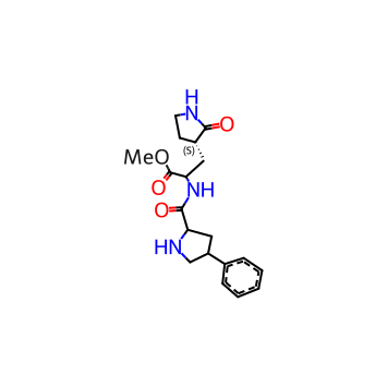 COC(=O)C(C[C@@H]1CCNC1=O)NC(=O)C1CC(c2ccccc2)CN1